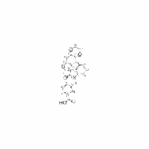 O=C(O)c1cccc(CN2C(=O)C3(COc4cc5c(cc43)OCCO5)c3ccccc32)c1